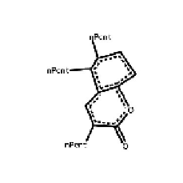 CCCCCc1ccc2oc(=O)c(CCCCC)cc2c1CCCCC